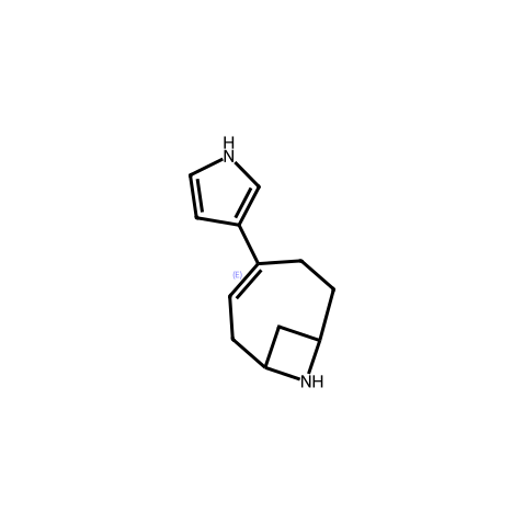 C1=C(/c2cc[nH]c2)CCC2CC(C/1)N2